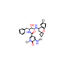 CCc1ccc2c(c1)C(NC[C@@H](O)[C@H](Cc1ccccc1)NC(=O)c1cc(NC(C)C)c(=O)n(CC)c1)CC1(CCC1)O2